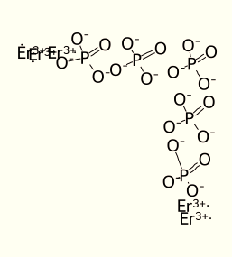 O=P([O-])([O-])[O-].O=P([O-])([O-])[O-].O=P([O-])([O-])[O-].O=P([O-])([O-])[O-].O=P([O-])([O-])[O-].[Er+3].[Er+3].[Er+3].[Er+3].[Er+3]